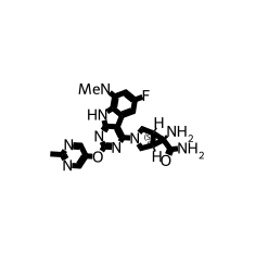 CNc1cc(F)cc2c1[nH]c1nc(Oc3cnc(C)nc3)nc(N3C[C@@H]4[C@H](C3)[C@@]4(N)C(N)=O)c12